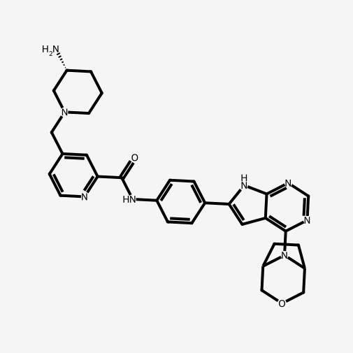 N[C@@H]1CCCN(Cc2ccnc(C(=O)Nc3ccc(-c4cc5c(N6C7CCC6COC7)ncnc5[nH]4)cc3)c2)C1